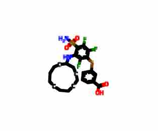 NS(=O)(=O)c1c(F)c(F)c(Sc2cccc(C(=O)O)c2)c(F)c1NC1CCCCCCCCCCC1